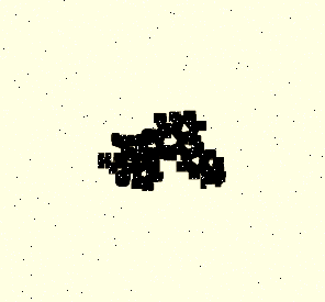 CC(C)CC(C(=O)NC1N=C(c2ccc(C(F)(F)F)cc2)c2ccccc2N(C)C1=O)C1(C(N)=O)CCCC1